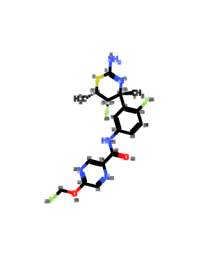 C[C@@H]1SC(N)=N[C@](C)(c2cc(NC(=O)c3cnc(OCF)cn3)ccc2F)[C@@H]1F